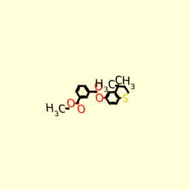 CCOC(=O)c1cccc(C(=O)Oc2ccc3c(c2)C(C)(C)CCS3)c1